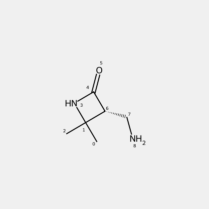 CC1(C)NC(=O)[C@@H]1CN